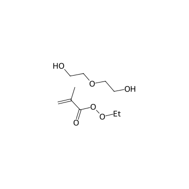 C=C(C)C(=O)OOCC.OCCOCCO